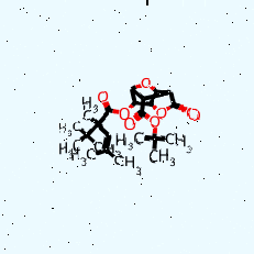 CC(C)=CC(C)(C(=O)OC1C2OC(=O)C3C2OC1C3C(=O)OC(C)(C)C)C(C)(C)C